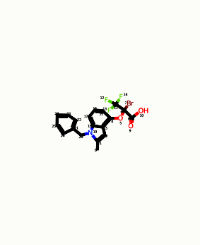 Cc1cc2c(OC(Br)(C(=O)O)C(F)(F)F)cccc2n1Cc1ccccc1